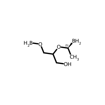 BOCC(CO)O[C@@H](B)C